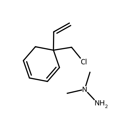 C=CC1(CCl)C=CC=CC1.CN(C)N